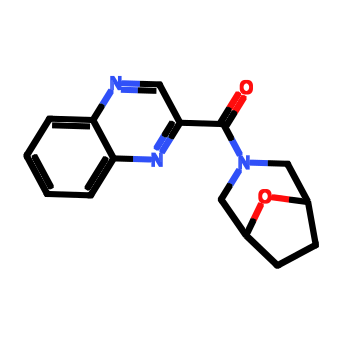 O=C(c1cnc2ccccc2n1)N1CC2CCC(C1)O2